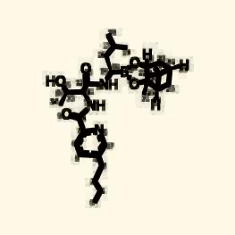 CCCCc1ccc(C(=O)N[C@H](C(=O)N[C@@H](CC(C)C)B2O[C@@H]3C[C@@H]4C[C@@H](C4(C)C)[C@]3(C)O2)[C@@H](C)O)nc1